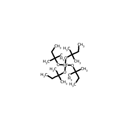 CCC(C)(C)[O][Hf]([O]C(C)(C)CC)([O]C(C)(C)CC)[O]C(C)(C)CC